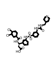 O=C(O)C[C@@H](NC(=O)c1ccc(Cl)c(Cl)c1)c1cccc(NS(=O)(=O)c2cccc(NC(=O)NCc3ccncc3)c2)c1